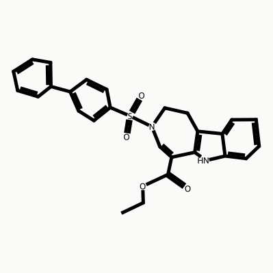 CCOC(=O)C1=CN(S(=O)(=O)c2ccc(-c3ccccc3)cc2)CCc2c1[nH]c1ccccc21